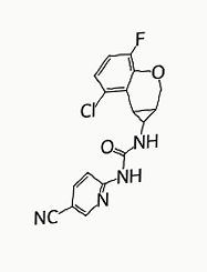 N#Cc1ccc(NC(=O)NC2C3COc4c(F)ccc(Cl)c4C32)nc1